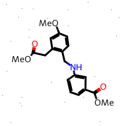 COC(=O)Cc1cc(OC)ccc1CNc1cccc(C(=O)OC)c1